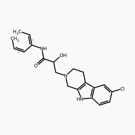 C/C=C\C(=C/C)NC(=O)C(O)CN1CCc2c([nH]c3ccc(Cl)cc23)C1